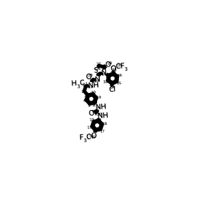 CC(Cc1ccc(NC(=O)Nc2ccc(OC(F)(F)F)cc2)cc1)NC(=O)N=C1SCC(=O)N1c1cc(Cl)ccc1OC(F)(F)F